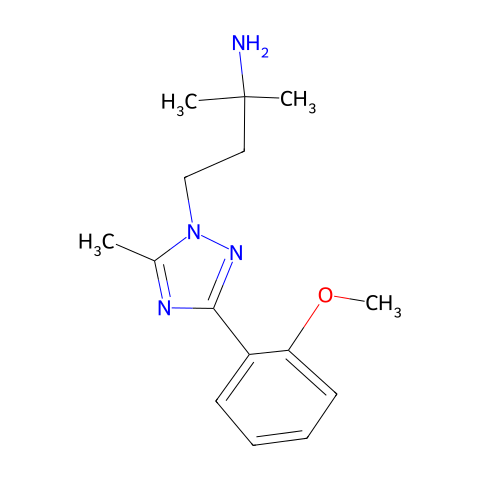 COc1ccccc1-c1nc(C)n(CCC(C)(C)N)n1